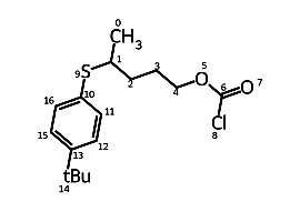 CC(CCCOC(=O)Cl)Sc1ccc(C(C)(C)C)cc1